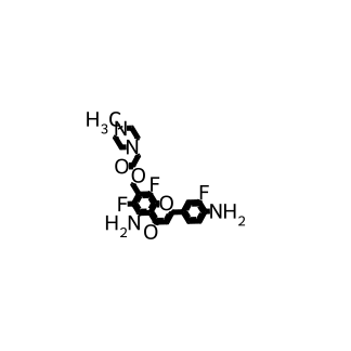 CN1CCN(CC(=O)OCc2c(F)c(N)c3c(=O)cc(-c4ccc(N)c(F)c4)oc3c2F)CC1